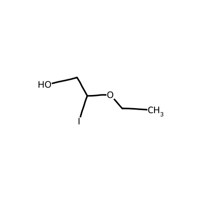 CCOC(I)CO